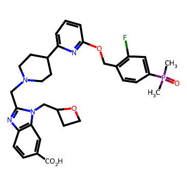 CP(C)(=O)c1ccc(COc2cccc(C3CCN(Cc4nc5ccc(C(=O)O)cc5n4CC4CCO4)CC3)n2)c(F)c1